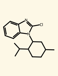 CC1CCC(C(C)C)C(n2c(Cl)nc3ccccc32)C1